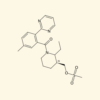 CCC1[C@@H](COS(C)(=O)=O)CCCN1C(=O)c1cc(C)ccc1-c1ncccn1